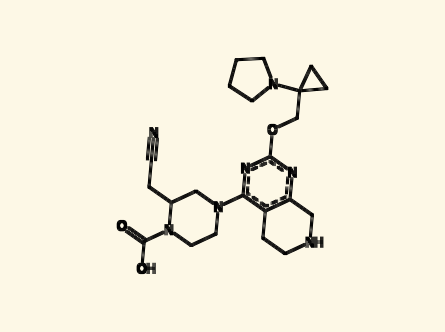 N#CCC1CN(c2nc(OCC3(N4CCCC4)CC3)nc3c2CCNC3)CCN1C(=O)O